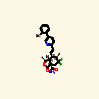 C[C@H]1OC(=O)[C@]2(C(N)=O)CC(F)(F)[C@@H](C)[C@H](C=Cc3ccc(-c4ccccc4C#N)cn3)[C@H]12